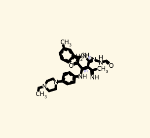 CCN1CCN(c2ccc(N/C(=C(C(C)=N)/C(N)=N\NC=O)c3oc4ccc(C)cc4c3C)cc2)CC1